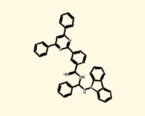 N=C(NC(Nn1c2ccccc2c2ccccc21)c1ccccc1)c1cccc(-c2nc(-c3ccccc3)cc(-c3ccccc3)n2)c1